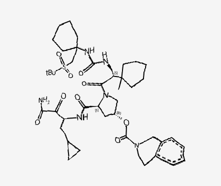 CC1([C@H](NC(=O)NC2(CS(=O)(=O)C(C)(C)C)CCCCC2)C(=O)N2C[C@H](OC(=O)N3CCc4ccccc4C3)C[C@H]2C(=O)NC(CC2CC2)C(=O)C(N)=O)CCCCC1